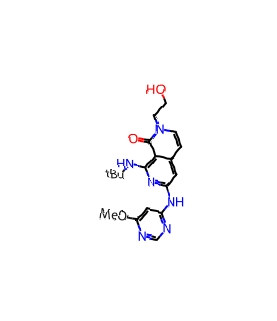 COc1cc(Nc2cc3ccn(CCO)c(=O)c3c(NC(C)(C)C)n2)ncn1